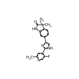 Cc1cc(-c2nc(-c3ccc4c(c3)NC(=O)C4(C)C)c[nH]2)c(F)cn1